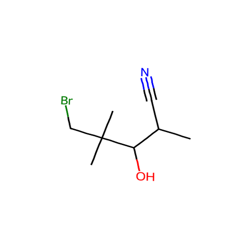 CC(C#N)C(O)C(C)(C)CBr